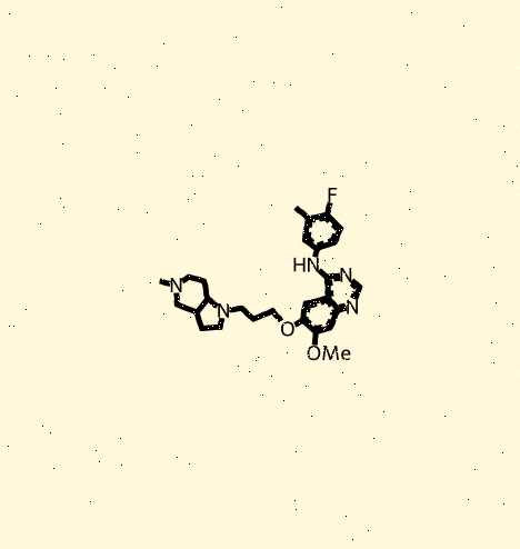 COc1cc2ncnc(Nc3ccc(F)c(C)c3)c2cc1OCCCN1CCC2CN(C)CCC21